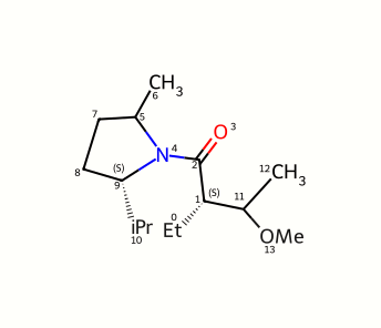 CC[C@H](C(=O)N1C(C)CC[C@H]1C(C)C)C(C)OC